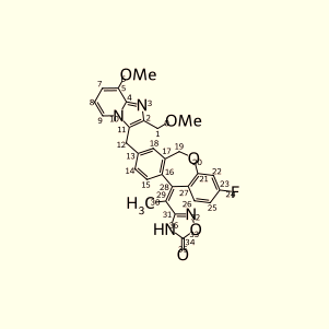 COCc1nc2c(OC)cccn2c1Cc1ccc2c(c1)COc1cc(F)ccc1/C2=C(/C)c1noc(=O)[nH]1